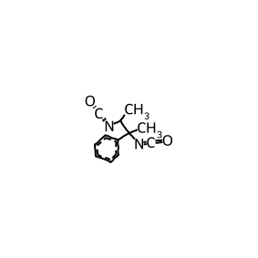 CC(N=C=O)C(C)(N=C=O)c1ccccc1